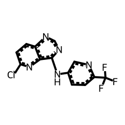 FC(F)(F)c1ccc(Nc2ncnc3ccc(Cl)nc23)cn1